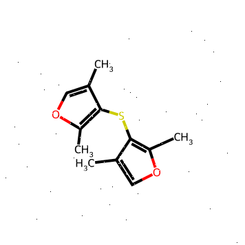 Cc1coc(C)c1Sc1c(C)coc1C